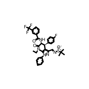 CCN1C(=O)[C@@H](NC(=O)c2cccc(C(F)(F)F)c2)[C@@H](c2ccc(F)cc2)c2c(C=N[S@+]([O-])C(C)(C)C)nn(-c3ccccc3)c21